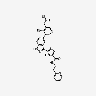 CCNCc1cncc(-c2ccc3[nH]nc(-c4ncc(C(=O)NCCc5ccccn5)[nH]4)c3c2)c1CC